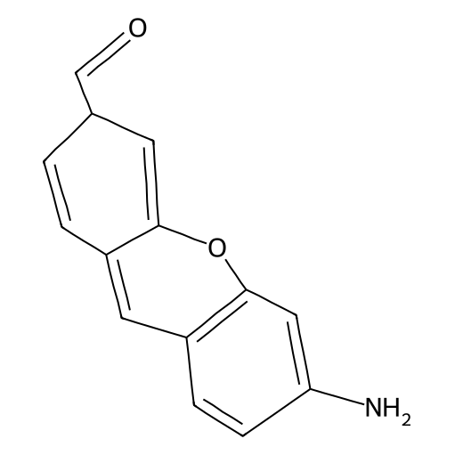 Nc1ccc2c(c1)OC1=CC(C=O)C=CC1=C2